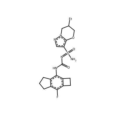 CCC1COc2c(S(N)(=O)=NC(=O)Nc3c4c(c(F)c5c3CC5)CCC4)cnn2C1